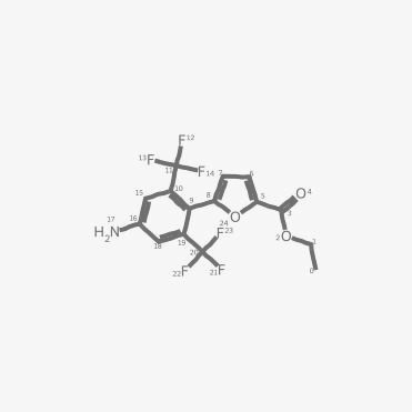 CCOC(=O)c1ccc(-c2c(C(F)(F)F)cc(N)cc2C(F)(F)F)o1